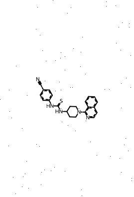 N#Cc1ccc(NC(=S)NC2CCN(c3nccc4ccccc34)CC2)cc1